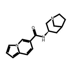 O=C(N[C@@H]1CC2CCN(C2)C1)c1ccc2cccn2c1